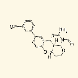 CN(C=O)/C(N)=N\[C@H]1c2cc(-c3cccc(C#N)c3)ccc2O[C@H]2CCOC[C@@H]21